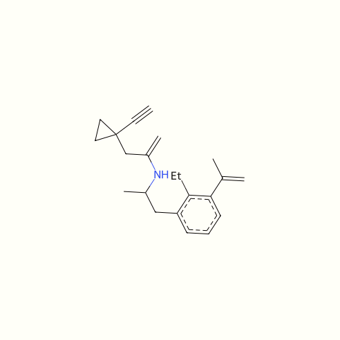 C#CC1(CC(=C)NC(C)Cc2cccc(C(=C)C)c2CC)CC1